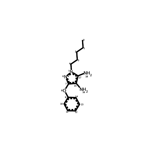 CCCCCn1nc(Oc2ccccc2)c(N)c1N